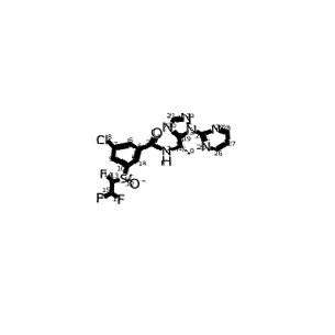 C[C@H](NC(=O)c1cc(Cl)cc([S+]([O-])C(F)C(F)F)c1)c1ncnn1-c1ncccn1